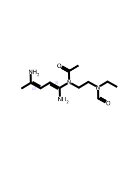 CCN(C=O)CCN(C(C)=O)/C(N)=C/C=C(/C)N